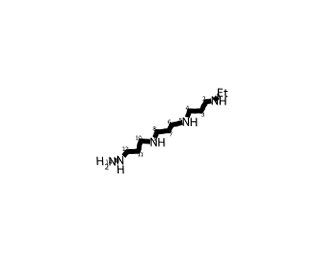 CCNCCCNCCCNCCCNN